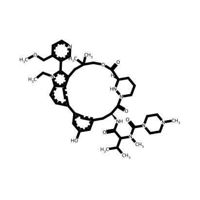 CCn1c(-c2cnccc2COC)c2c3cc(ccc31)-c1cc(O)cc(c1)C[C@H](NC(=O)C(C(C)C)N(C)C(=O)N1CCN(C)CC1)C(=O)N1CCC[C@H](N1)C(=O)OCC(C)(C)C2